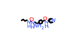 CCCCNC(=O)NCC(N)c1ccc(C(=O)Nc2ccncc2)cc1